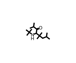 CC(C)CC(C)(C)C(NC(C)(C)C)C(=O)C(C)C